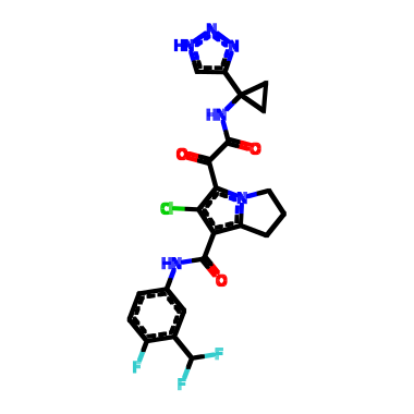 O=C(NC1(c2c[nH]nn2)CC1)C(=O)c1c(Cl)c(C(=O)Nc2ccc(F)c(C(F)F)c2)c2n1CCC2